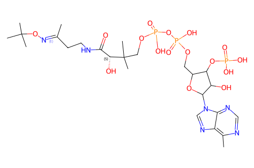 C/C(CCNC(=O)[C@@H](O)C(C)(C)COP(=O)(O)OP(=O)(O)OCC1OC(n2cnc3c(C)ncnc32)C(O)C1OP(=O)(O)O)=N\OC(C)(C)C